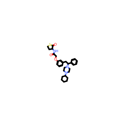 O=C(COc1cccc(CC(c2ccccc2)N2CCN(C3CCCCC3)CC2)c1)NC1CCSC1=O